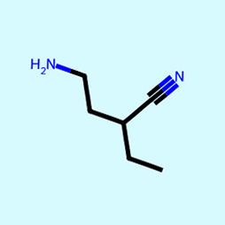 CCC(C#N)CCN